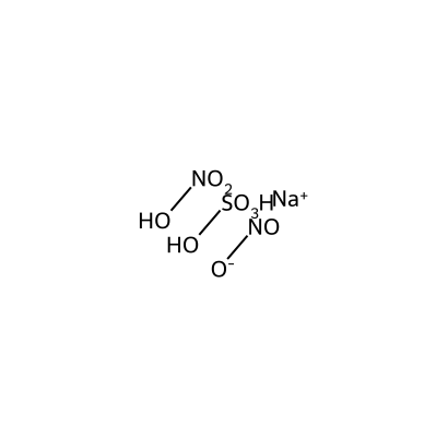 O=N[O-].O=S(=O)(O)O.O=[N+]([O-])O.[Na+]